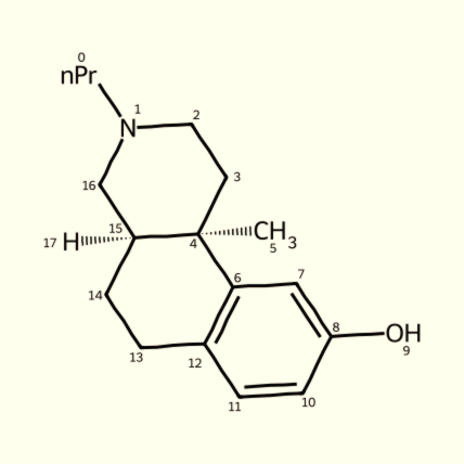 CCCN1CC[C@@]2(C)c3cc(O)ccc3CC[C@H]2C1